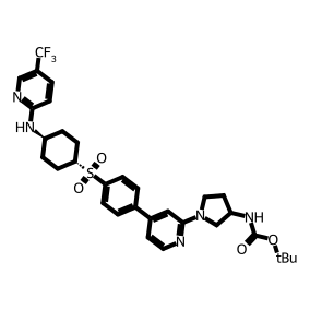 CC(C)(C)OC(=O)NC1CCN(c2cc(-c3ccc(S(=O)(=O)[C@H]4CC[C@H](Nc5ccc(C(F)(F)F)cn5)CC4)cc3)ccn2)C1